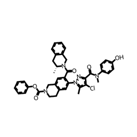 Cc1c(Cl)c(C(=O)N(C)c2ccc(O)cc2)nn1-c1cc2c(cc1C(=O)N1Cc3ccccc3C[C@H]1C)CN(C(=O)Oc1ccccc1)CC2